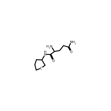 NC(=O)CCC(N)C(=O)NC1CCCCC1